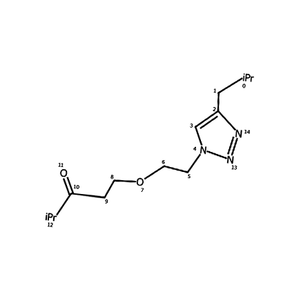 CC(C)Cc1cn(CCOCCC(=O)C(C)C)nn1